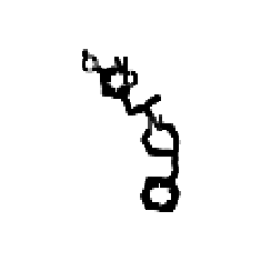 COc1cc(CC(C)N2CCC(Cc3ccccc3)CC2)on1